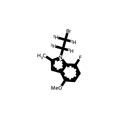 [2H]C([2H])(Br)C([2H])([2H])n1c(C)cc2c(OC)ccc(F)c21